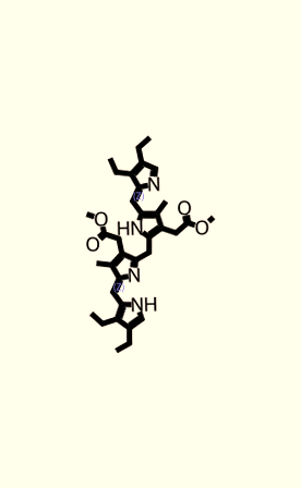 CCC1=C(CC)/C(=C/c2[nH]c(CC3=N/C(=C\c4[nH]cc(CC)c4CC)C(C)=C3CC(=O)OC)c(CC(=O)OC)c2C)N=C1